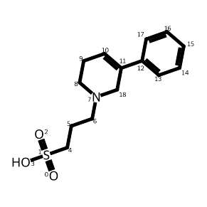 O=S(=O)(O)CCCN1CCC=C(c2ccccc2)C1